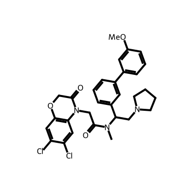 COc1cccc(-c2cccc(C(CN3CCCC3)N(C)C(=O)CN3C(=O)COc4cc(Cl)c(Cl)cc43)c2)c1